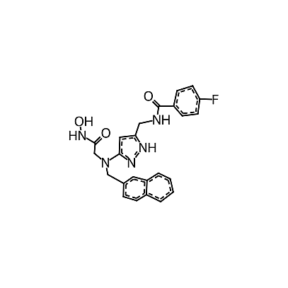 O=C(CN(Cc1ccc2ccccc2c1)c1cc(CNC(=O)c2ccc(F)cc2)[nH]n1)NO